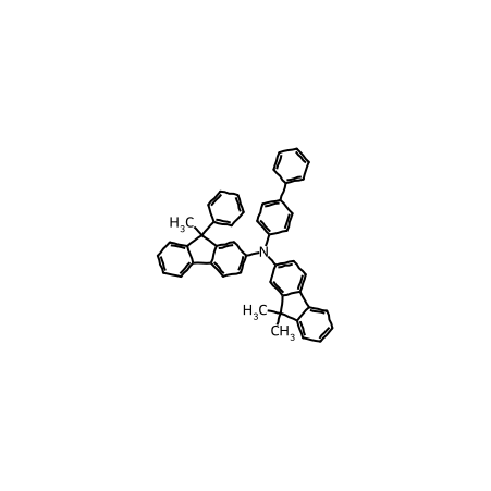 CC1(C)c2ccccc2-c2ccc(N(c3ccc(-c4ccccc4)cc3)c3ccc4c(c3)C(C)(c3ccccc3)c3ccccc3-4)cc21